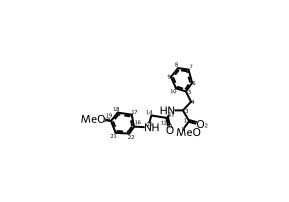 COC(=O)C(Cc1ccccc1)NC(=O)CNc1ccc(OC)cc1